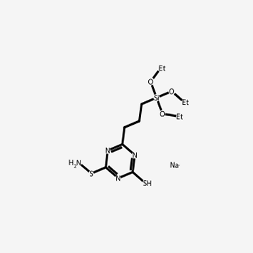 CCO[Si](CCCc1nc(S)nc(SN)n1)(OCC)OCC.[Na]